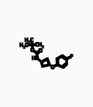 CC(C)(C)OC(=O)N[C@H]1C[C@H](Oc2ccc(F)cc2)C1